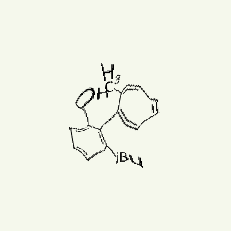 CCC(C)c1cccc(O)c1-c1ccccc1C